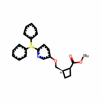 CC(C)(C)OC(=O)C1CC[C@H]1COc1ccc([S+](c2ccccc2)c2ccccc2)nc1